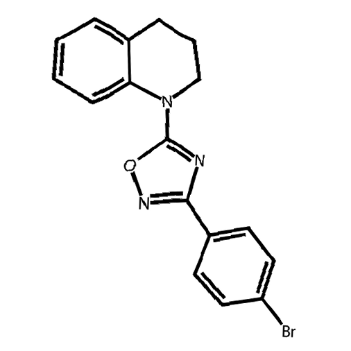 Brc1ccc(-c2noc(N3CCCc4ccccc43)n2)cc1